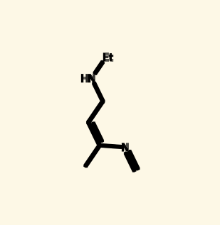 C=N/C(C)=C\CNCC